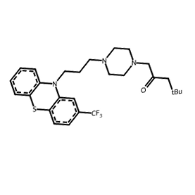 CC(C)(C)CC(=O)CN1CCN(CCCN2c3ccccc3Sc3ccc(C(F)(F)F)cc32)CC1